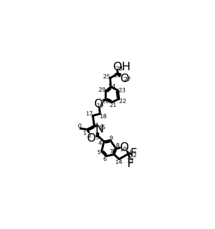 Cc1oc(-c2ccc3c(c2)OC(F)(F)C3)nc1CCOc1cccc(CC(=O)O)c1